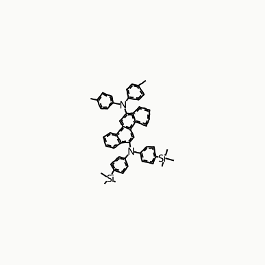 Cc1ccc(N(c2ccc(C)cc2)c2cc3c4ccccc4c(N(c4ccc([Si](C)(C)C)cc4)c4ccc([Si](C)(C)C)cc4)cc3c3ccccc23)cc1